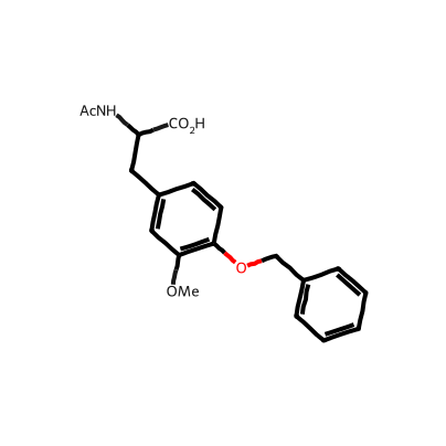 COc1cc(CC(NC(C)=O)C(=O)O)ccc1OCc1ccccc1